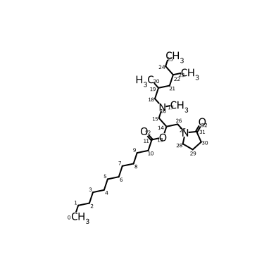 CCCCCCCCCCCC(=O)OC(CN(C)CC(C)CC(C)CC)CN1CCCC1=O